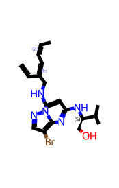 C=C/C(=C\C=C/C)CNc1cc(N[C@H](CO)C(C)C)nc2c(Br)cnn12